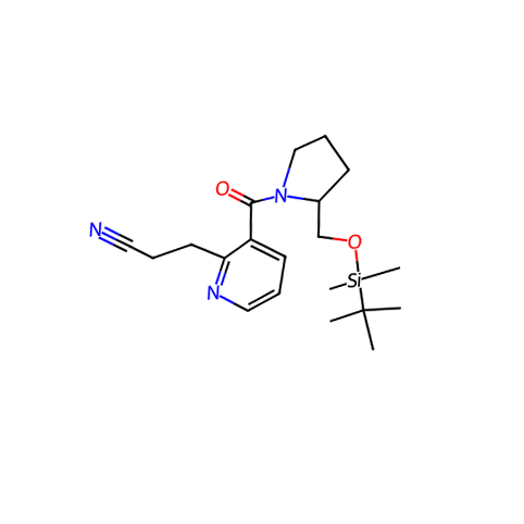 CC(C)(C)[Si](C)(C)OCC1CCCN1C(=O)c1cccnc1CCC#N